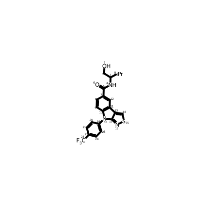 CC(C)C(CO)NC(=O)c1ccc2c(c1)c1csnc1n2-c1ccc(C(F)(F)F)cc1